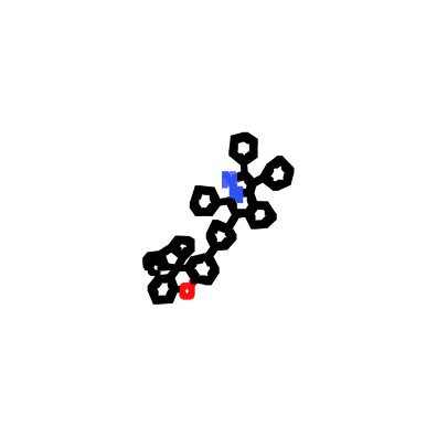 c1ccc(-c2nn3c(-c4ccccc4)c(-c4ccc(-c5ccc6c(c5)C5(c7ccccc7O6)c6ccccc6-c6ccccc65)cc4)c4ccccc4c3c2-c2ccccc2)cc1